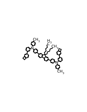 CCCCCCC1(CCCCCC)c2cc(-c3ccc(N(c4ccc(C)cc4)c4cccc(-c5ccc6c(c5)CC6)c4)cc3)ccc2-c2ccc(-c3ccc(N(c4ccc(C)cc4)c4cccc(-c5ccc6c(c5)CC6)c4)cc3)cc21